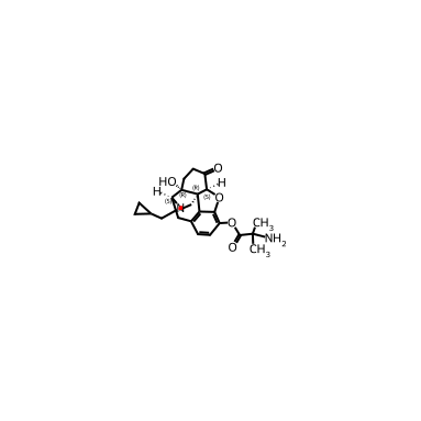 CC(C)(N)C(=O)Oc1ccc2c3c1O[C@@H]1C(=O)CC[C@]4(O)[C@H](C2)N(CC2CC2)CC[C@@]314